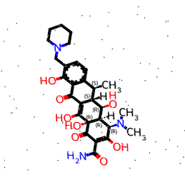 C[C@@H]1c2ccc(CN3CCCCC3)c(O)c2C(=O)C2=C(O)[C@@]3(O)C(=O)C(C(N)=O)=C(O)[C@H](N(C)C)[C@@H]3[C@H](O)[C@H]21